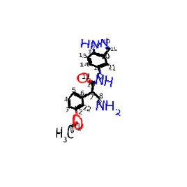 COc1cccc(C(CN)C(=O)Nc2ccc3[nH]ncc3c2)c1